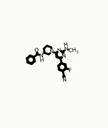 CNc1nc(-c2ccc(C#N)c(F)c2)cc(N2CCC[C@@H](NC(=O)c3ccccc3)C2)n1